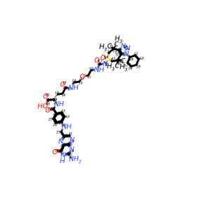 CC1(C)CS(=O)(=NC(=O)NCCOCCNC(=O)CC[C@H](NC(=O)c2ccc(NCc3cnc4nc(N)[nH]c(=O)c4n3)cc2)C(=O)O)CC(C)(C)c2c1nnn2C1CCCCC1